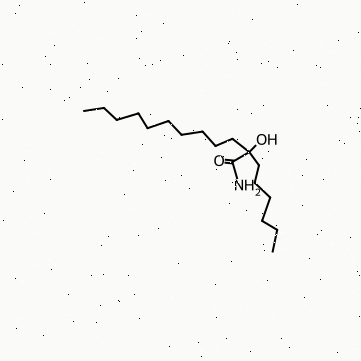 CCCCCCCCCCC(O)(CCCCCC)C(N)=O